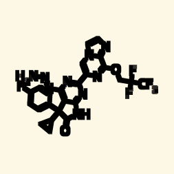 NN=Nc1nc(-c2cn3ccnc3c(OCC(F)(F)C(F)(F)F)n2)nc2c1C(c1ccc(F)cc1)(C1CC1)C(=O)N2